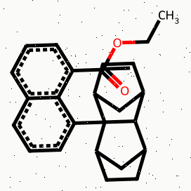 CCOC(=O)c1cccc2cccc(C34C5C=CC(C5)C3C3CCC4C3)c12